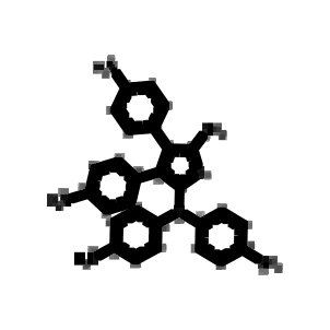 Nc1ccc(-c2c(N)sc(N(c3ccc(N)cc3)c3ccc(N)cc3)c2-c2ccc(N)cc2)cc1